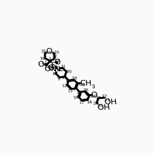 COC(=O)C1(S(=O)(=O)N2CCC(c3ccc(-c4cccc(OC(CO)CO)c4)c(C)c3)CC2)CCOCC1